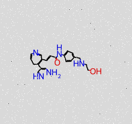 N=C/C(=C\N)C1=C(/C=C/C(=O)Nc2ccc(CNCCO)cc2)C=NC=CC1